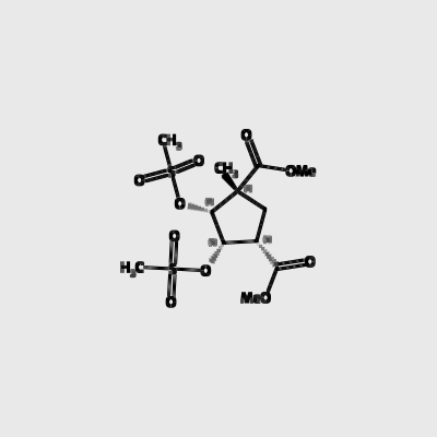 COC(=O)[C@H]1C[C@@](C)(C(=O)OC)[C@@H](OS(C)(=O)=O)[C@H]1OS(C)(=O)=O